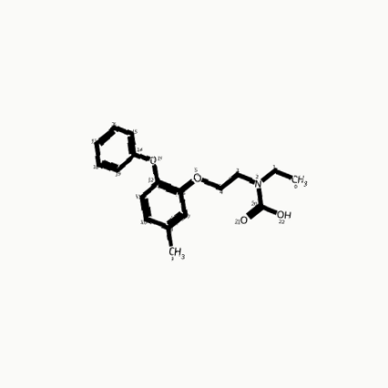 CCN(CCOc1cc(C)ccc1Oc1ccccc1)C(=O)O